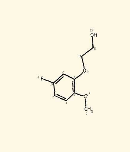 COc1ccc(F)cc1OCCO